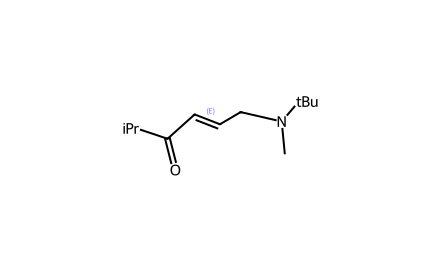 CC(C)C(=O)/C=C/CN(C)C(C)(C)C